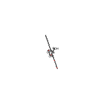 CC(C)NC(=O)CCC(=O)O.CCCCCCCCCCCCCCCCCCN(CCCCCCCCCCCCCCCCCC)C(=O)CCC(=O)O